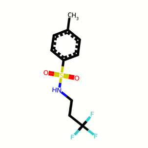 Cc1ccc(S(=O)(=O)NCCC(F)(F)F)cc1